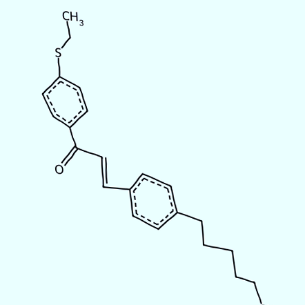 CCCCCCc1ccc(C=CC(=O)c2ccc(SCC)cc2)cc1